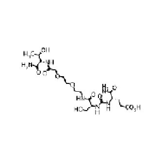 CC(O)[C@H](NC(=O)COCCOCCNC(=O)[C@H](CO)NC(=O)N[C@@H](CCC(=O)O)C(N)=O)C(N)=O